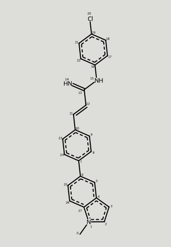 Cn1ccc2cc(-c3ccc(C=CC(=N)Nc4ccc(Cl)cc4)cc3)ccc21